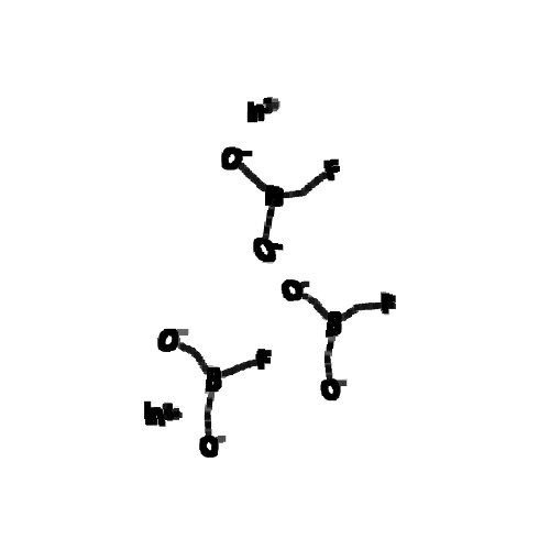 [In+3].[In+3].[O-]B([O-])F.[O-]B([O-])F.[O-]B([O-])F